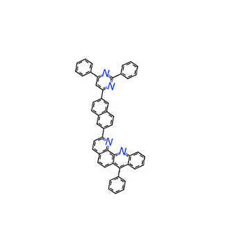 c1ccc(-c2cc(-c3ccc4cc(-c5ccc6ccc7c(-c8ccccc8)c8ccccc8nc7c6n5)ccc4c3)nc(-c3ccccc3)n2)cc1